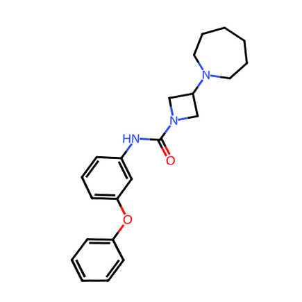 O=C(Nc1cccc(Oc2ccccc2)c1)N1CC(N2CCCCCC2)C1